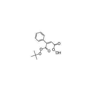 CC(C)(C)OOC(=O)/C(=C\C(=O)OO)c1ccccc1